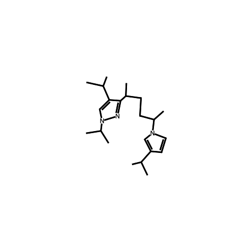 CC(C)c1ccn(C(C)CCC(C)c2nn(C(C)C)cc2C(C)C)c1